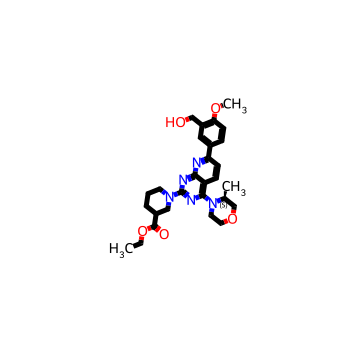 CCOC(=O)C1CCCN(c2nc(N3CCOC[C@@H]3C)c3ccc(-c4ccc(OC)c(CO)c4)nc3n2)C1